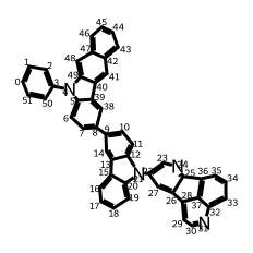 c1ccc(-n2c3ccc(-c4ccc5c(c4)c4ccccc4n5-c4cnc5c(c4)-c4ccnc6cccc-5c46)cc3c3cc4ccccc4cc32)cc1